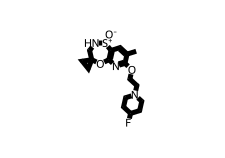 Cc1cc2c(nc1OCCN1CCC(F)CC1)OC1(CC1)CN[S+]2[O-]